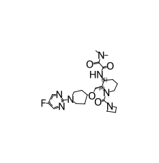 CN(C)C(=O)C(=O)N[C@H]1CCCN(C(=O)N2CCC2)[C@H]1COC1CCN(c2ncc(F)cn2)CC1